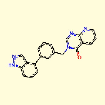 O=c1c2cccnc2ncn1Cc1cccc(-c2cccc3[nH]ncc23)c1